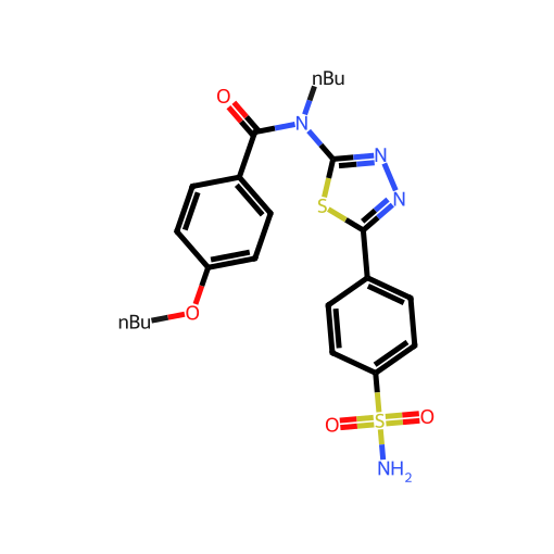 CCCCOc1ccc(C(=O)N(CCCC)c2nnc(-c3ccc(S(N)(=O)=O)cc3)s2)cc1